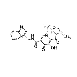 C[C@H]1CO[C@]2(C)Cn3cc(C(=O)NCc4cnc5ccccn45)c(=O)c(O)c3C(=O)N12